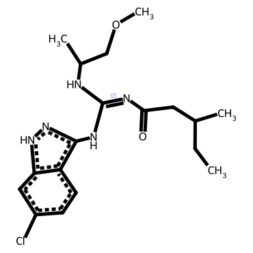 CCC(C)CC(=O)/N=C(\Nc1n[nH]c2cc(Cl)ccc12)NC(C)COC